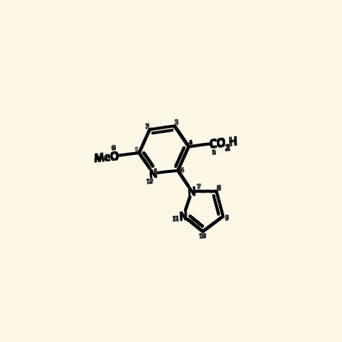 COc1ccc(C(=O)O)c(-n2cccn2)n1